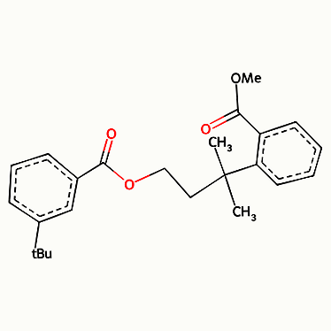 COC(=O)c1ccccc1C(C)(C)CCOC(=O)c1cccc(C(C)(C)C)c1